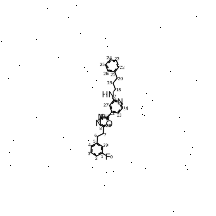 Fc1cccc(CCc2nnc(-c3ccnc(NCCCc4ccccc4)c3)o2)c1